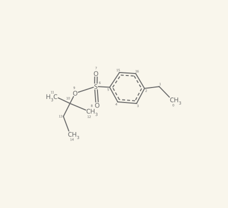 CCc1ccc(S(=O)(=O)OC(C)(C)CC)cc1